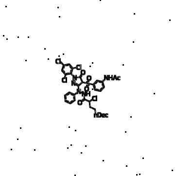 CCCCCCCCCCCCC(Cl)C(=O)NN(C1=NN(c2c(Cl)cc(Cl)cc2Cl)C(=O)C1S(=O)(=O)c1cccc(NC(C)=O)c1)c1ccccc1